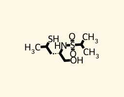 CC(S)C[C@@H](CO)NS(=O)(=O)C(C)C